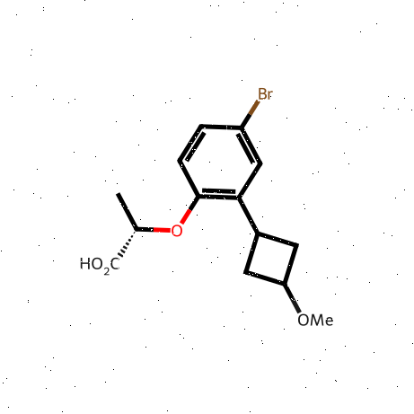 COC1CC(c2cc(Br)ccc2O[C@@H](C)C(=O)O)C1